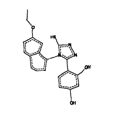 CCOc1ccc2cccc(-n3c(S)nnc3-c3ccc(O)cc3O)c2c1